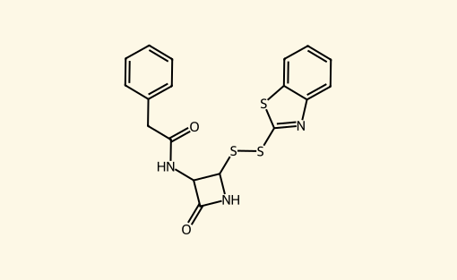 O=C(Cc1ccccc1)NC1C(=O)NC1SSc1nc2ccccc2s1